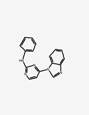 c1ccc(Nc2nccc(-n3cnc4ccccc43)n2)cc1